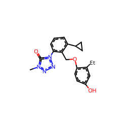 CCc1cc(O)ccc1OCc1c(C2CC2)cccc1-n1nnn(C)c1=O